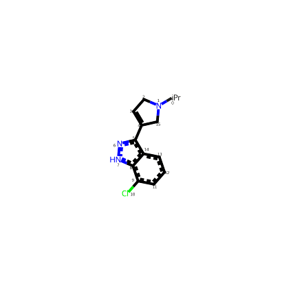 CC(C)N1CC=C(c2n[nH]c3c(Cl)cccc23)C1